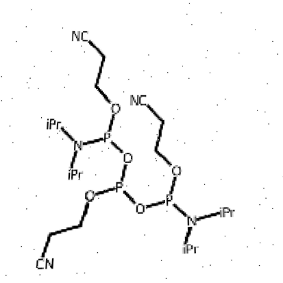 CC(C)N(C(C)C)P(OCCC#N)OP(OCCC#N)OP(OCCC#N)N(C(C)C)C(C)C